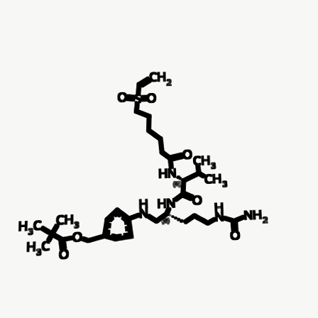 C=CS(=O)(=O)CCCCCC(=O)N[C@@H](C(=O)N[C@H](CCCNC(N)=O)CNc1ccc(COC(=O)C(C)(C)C)cc1)C(C)C